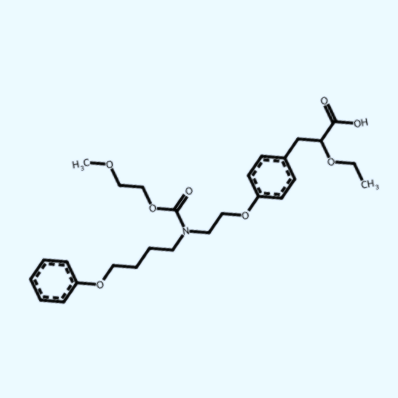 CCOC(Cc1ccc(OCCN(CCCCOc2ccccc2)C(=O)OCCOC)cc1)C(=O)O